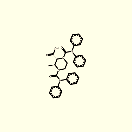 C[C@H]1[C@H](C(=O)O)N(C(=O)N(c2ccccc2)c2ccccc2)CCN1C(=O)N(c1ccccc1)c1ccccc1